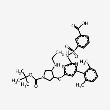 CCN[C@@H]1CN(C(=O)OC(C)(C)C)CC1Oc1cc(-c2c(C)cccc2C)nc(NS(=O)(=O)c2cccc(C(=O)O)c2)n1